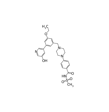 CCOc1cc(CN2CCN(c3ccc(C(=O)NS(C)(=O)=O)cc3)CC2)cc(-c2cncc(O)c2)c1